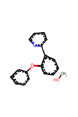 CO.c1ccc(Oc2ccccc2-c2ccccn2)cc1